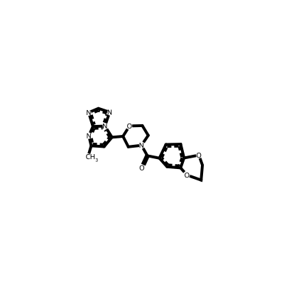 Cc1cc(C2CN(C(=O)c3ccc4c(c3)OCCO4)CCO2)n2ncnc2n1